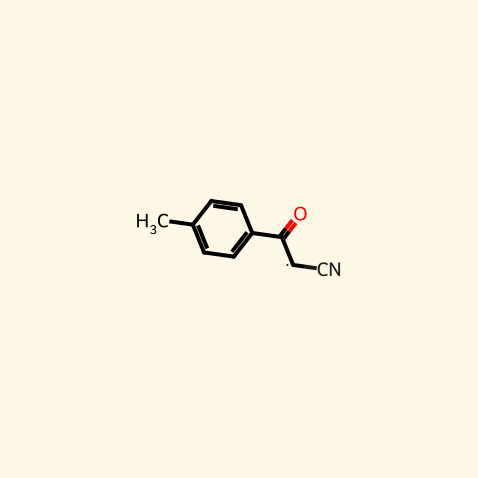 Cc1ccc(C(=O)[CH]C#N)cc1